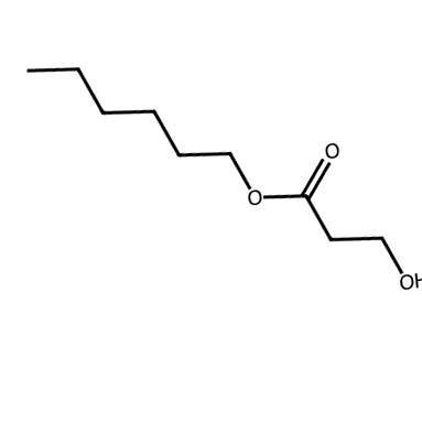 CCCCCCOC(=O)CCO